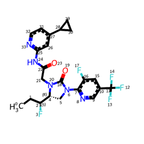 CC[C@H](F)[C@H]1CN(c2ncc(C(F)(F)F)cc2F)C(=O)N1CC(=O)Nc1cc(C2CC2)ccn1